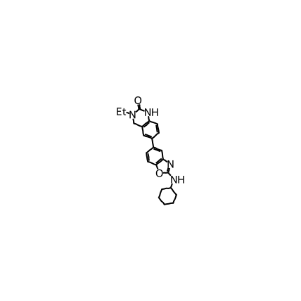 CCN1Cc2cc(-c3ccc4oc(NC5CCCCC5)nc4c3)ccc2NC1=O